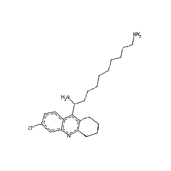 NCCCCCCCCCC(N)c1c2c(nc3cc(Cl)ccc13)CCCC2